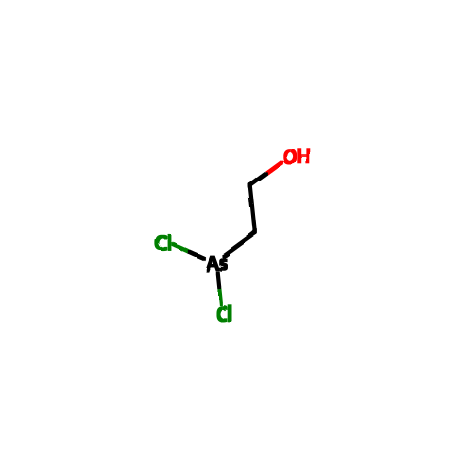 OCC[As](Cl)Cl